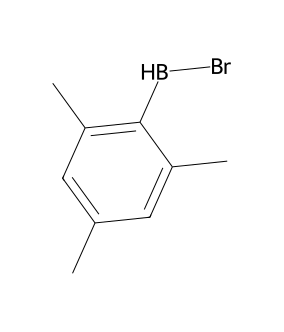 Cc1cc(C)c(BBr)c(C)c1